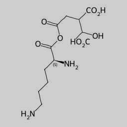 NCCCC[C@H](N)C(=O)OC(=O)CC(C(=O)O)C(O)C(=O)O